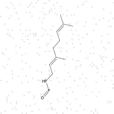 CC(C)=CCC/C(C)=C/CPP=O